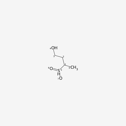 CC(CCO)[SH](=O)=O